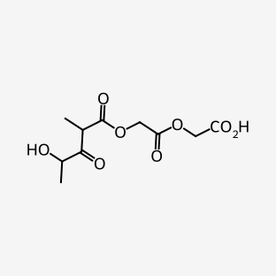 CC(O)C(=O)C(C)C(=O)OCC(=O)OCC(=O)O